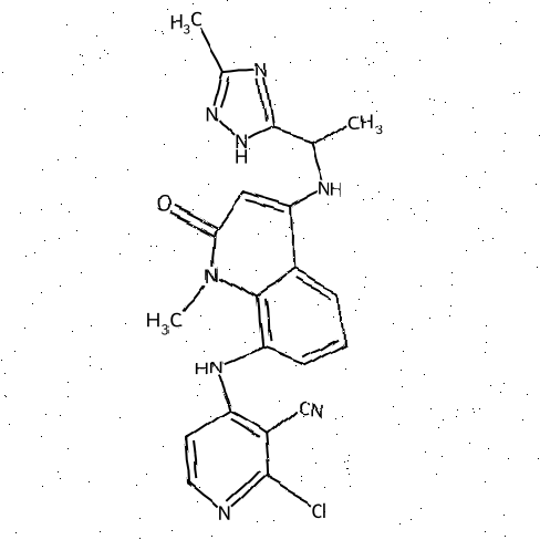 Cc1n[nH]c(C(C)Nc2cc(=O)n(C)c3c(Nc4ccnc(Cl)c4C#N)cccc23)n1